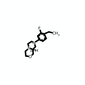 CCc1ccc(N2CCN3CCOC[C@H]3C2)cc1F